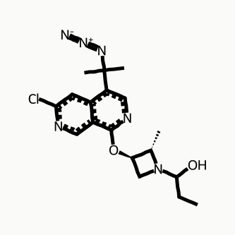 CCC(O)N1C[C@@H](Oc2ncc(C(C)(C)N=[N+]=[N-])c3cc(Cl)ncc23)[C@@H]1C